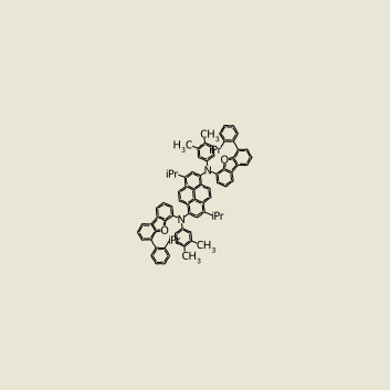 Cc1ccc(N(c2cc(C(C)C)c3ccc4c(N(c5ccc(C)c(C)c5)c5cccc6c5oc5c(-c7ccccc7C(C)C)cccc56)cc(C(C)C)c5ccc2c3c54)c2cccc3c2oc2c(-c4ccccc4C(C)C)cccc23)cc1C